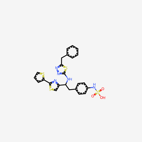 O=S(=O)(O)Nc1ccc(CC(Nc2nnc(Cc3ccccc3)s2)c2csc(-c3cccs3)n2)cc1